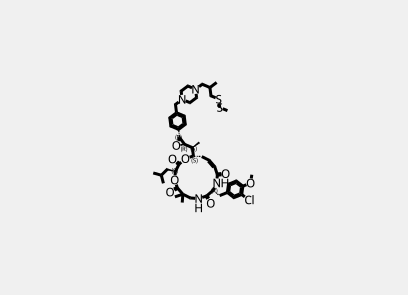 COc1ccc(C[C@H]2NC(=O)C=CC[C@@H]([C@H](C)[C@H]3O[C@@H]3c3ccc(CN4CCN(CC(C)CSSC)CC4)cc3)OC(=O)[C@H](CC(C)C)OC(=O)C(C)(C)CNC2=O)cc1Cl